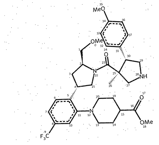 COC[C@@H]1C[C@@H](c2ccc(C(F)(F)F)cc2N2CCC(C(=O)OC)CC2)CN1C(=O)[C@]1(C)CNC[C@H]1c1ccc(OC)cc1